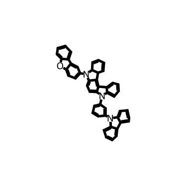 C1=CC2c3c(ccc4c3c3ccccc3n4-c3cccc(-n4c5ccccc5c5ccccc54)c3)N(c3ccc4oc5ccccc5c4c3)C2C=C1